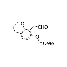 COCOc1ccc2c(c1CC=O)OCCC2